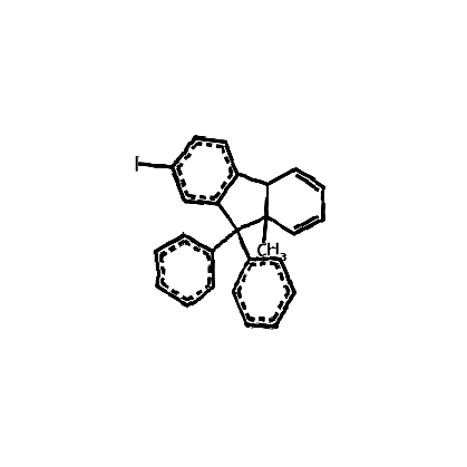 CC12C=CC=CC1c1ccc(I)cc1C2(c1ccccc1)c1ccccc1